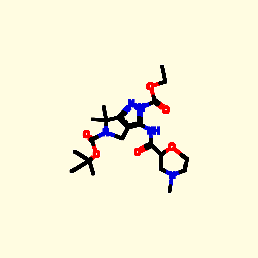 CCOC(=O)n1nc2c(c1NC(=O)C1CN(C)CCO1)CN(C(=O)OC(C)(C)C)C2(C)C